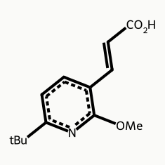 COc1nc(C(C)(C)C)ccc1/C=C/C(=O)O